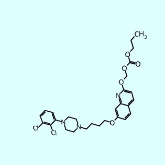 CCCOC(=O)OCOc1ccc2ccc(OCCCCN3CCN(c4cccc(Cl)c4Cl)CC3)cc2n1